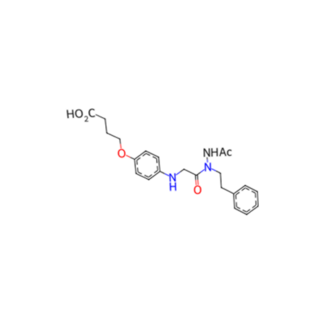 CC(=O)NN(CCc1ccccc1)C(=O)CNc1ccc(OCCCC(=O)O)cc1